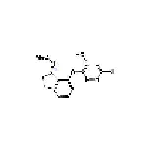 CO/N=C1\CCc2cccc(Oc3nnc(Cl)cc3O)c21